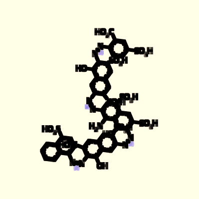 Nc1c(/N=N\c2cc3c(O)c(/N=N\c4ccc(S(=O)(=O)O)cc4C(=O)O)c(S(=O)(=O)O)cc3cc2S(=O)(=O)O)cc(S(=O)(=O)O)c2cc(S(=O)(=O)O)c(/N=N\c3cc4c(O)c(/N=N\c5ccc(S(=O)(=O)O)c6ccccc56)c(S(=O)(=O)O)cc4cc3S(=O)(=O)O)c(O)c12